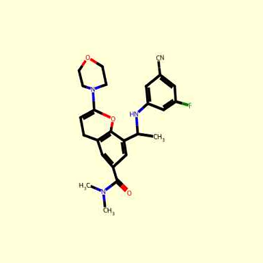 CC(Nc1cc(F)cc(C#N)c1)c1cc(C(=O)N(C)C)cc2c1OC(N1CCOCC1)=CC2